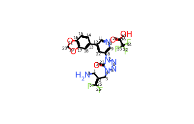 NCC(Cn1nnn(-c2cncc(-c3ccc4c(c3)OCO4)c2)c1=O)=C(F)F.O=C(O)C(F)(F)F